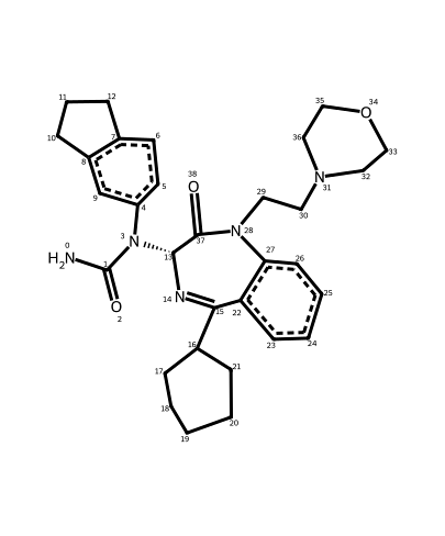 NC(=O)N(c1ccc2c(c1)CCC2)[C@H]1N=C(C2CCCCC2)c2ccccc2N(CCN2CCOCC2)C1=O